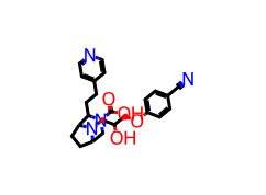 N#Cc1ccc(OCC(O)CN2C3CCC2C(CCc2ccncc2)N(C(=O)O)C3)cc1